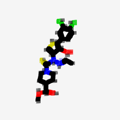 C/C=N/N(C(=S)N1CCC(C(=O)OC)CC1)c1csc(-c2ccc(Cl)c(Cl)c2)c1O